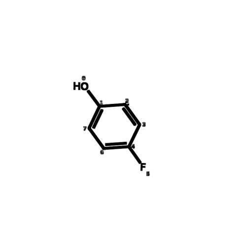 Oc1[c]cc(F)cc1